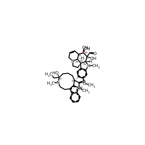 CC[C@]12C=CCN3CC[C@@]4(c5cc([C@@]6(C(=O)OC)CCC[C@@](O)(CC)N(C)CCc7c6[nH]c6ccccc76)c(OC)cc5N(C)[C@H]4[C@@](O)(C=O)[C@@H]1O)[C@@H]32